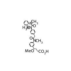 COC(CCC(=O)O)c1cccc(N(C)C(=O)Cc2ccc(NC(=O)N(C)c3ccccc3C)cc2)c1